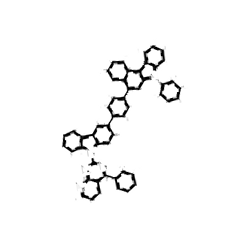 c1ccc(-c2nc(-n3c4ccccc4c4cc(-c5ccc(-c6cc7c(c8ccccc68)c6ccccc6n7-c6ccccc6)cc5)ccc43)nc3ncccc23)cc1